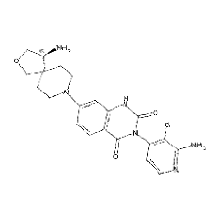 Nc1nccc(-n2c(=O)[nH]c3cc(N4CCC5(CC4)COC[C@H]5N)ccc3c2=O)c1Cl